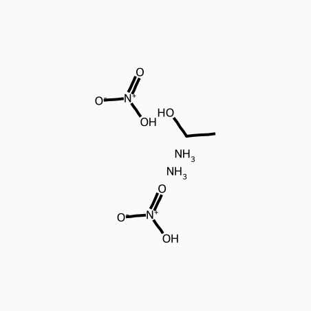 CCO.N.N.O=[N+]([O-])O.O=[N+]([O-])O